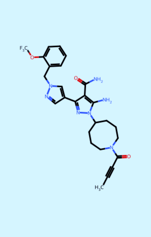 CC#CC(=O)N1CCCC(n2nc(-c3cnn(Cc4ccccc4OC(F)(F)F)c3)c(C(N)=O)c2N)CCC1